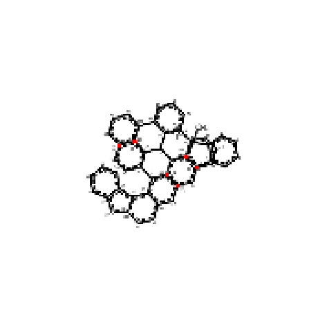 CC1(C)c2ccccc2-c2cccc(C(c3ccccc3-c3cccc4ccc5sc6ccccc6c5c34)c3c(-c4ccccc4)cccc3-c3ccccc3)c21